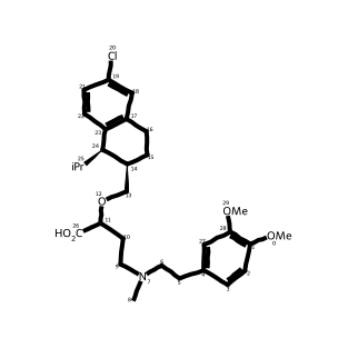 COc1ccc(CCN(C)CCC(OC[C@@H]2CCc3cc(Cl)ccc3[C@@H]2C(C)C)C(=O)O)cc1OC